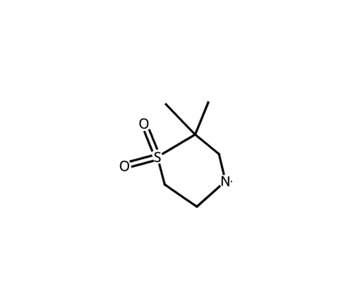 CC1(C)C[N]CCS1(=O)=O